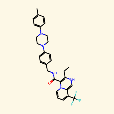 CCC1=C(C(=O)NCc2ccc(N3CCN(c4ccc(C)cc4)CC3)cc2)N2C=CC=C(C(F)(F)F)C2=CN1